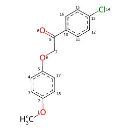 COc1ccc(OCC(=O)c2ccc(Cl)cc2)cc1